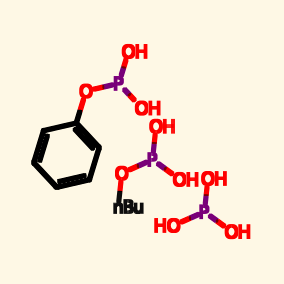 CCCCOP(O)O.OP(O)O.OP(O)Oc1ccccc1